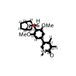 COc1cc(-c2cn(C)c(=O)c(C)c2C)cc(OC)c1CN1C2CCC1CN(S)C2